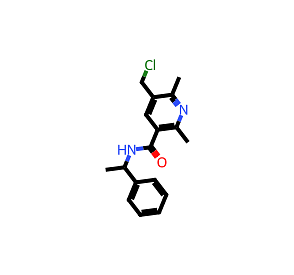 Cc1nc(C)c(C(=O)NC(C)c2ccccc2)cc1CCl